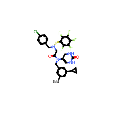 CC(C)(C)c1cc(CN(C(=O)CN(Cc2ccc(Cl)cc2)Sc2c(F)c(F)c(F)c(F)c2F)C2=CNC(=O)NC2)cc(C2CC2)c1